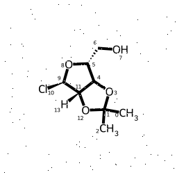 CC1(C)OC2[C@@H](CO)O[C@H](Cl)[C@H]2O1